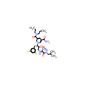 CCCN(CCC)C(=O)C1=CC(C(N)=O)=CN([C@@H](Cc2cc(F)cc(F)c2)[C@H](O)CN[C@@H](C)C(=O)NCC(C)C)C1